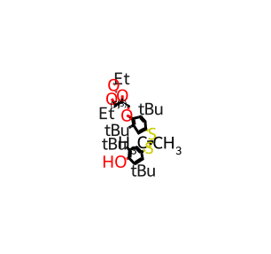 CCOC1O[C@@H](CC)[C@H](COc2c(C(C)(C)C)cc(SC(C)(C)Sc3cc(C(C)(C)C)c(O)c(C(C)(C)C)c3)cc2C(C)(C)C)O1